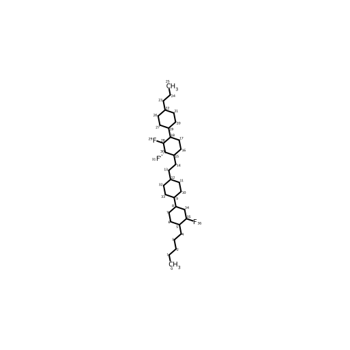 CCCCCC1CCC(C2CCC(CCC3CCC(C4CCC(CCC)CC4)C(F)[C@H]3F)CC2)CC1F